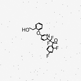 OCCc1ccccc1Oc1ccc(C(F)(F)C2(c3ccc(F)cc3F)CO2)nc1